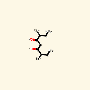 CCC(CC(C)C)C(=O)CC(=O)C(CC)CC(C)C